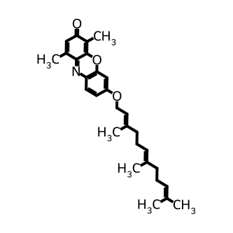 CC(C)=CCC/C(C)=C/CC/C(C)=C/COc1ccc2nc3c(C)cc(=O)c(C)c-3oc2c1